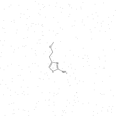 COCCc1csc(N)n1